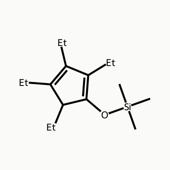 CCC1=C(CC)C(CC)C(O[Si](C)(C)C)=C1CC